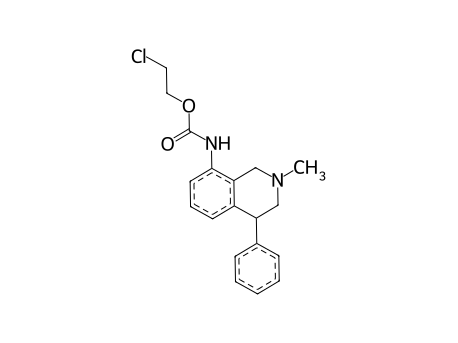 CN1Cc2c(NC(=O)OCCCl)cccc2C(c2ccccc2)C1